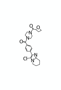 O=C(c1ccc(-c2nc3n(c2Cl)CCCC3)cc1)N1CCN(C(=O)C2CCO2)CC1